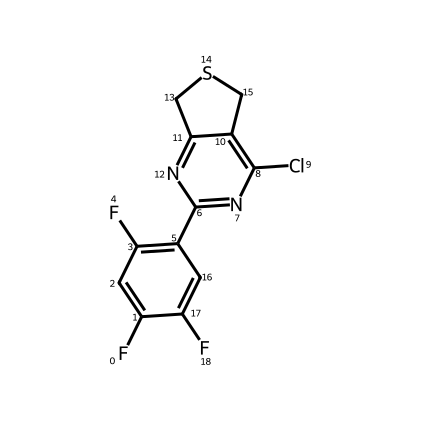 Fc1cc(F)c(-c2nc(Cl)c3c(n2)CSC3)cc1F